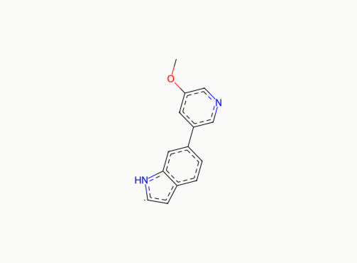 COc1cncc(-c2ccc3c[c][nH]c3c2)c1